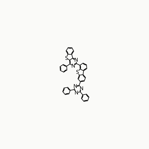 c1ccc(-c2nc(-c3ccccc3)nc(-c3ccc4c(c3)sc3c(-c5nc(-c6ccccc6)c6sc7ccccc7c6n5)cccc34)n2)cc1